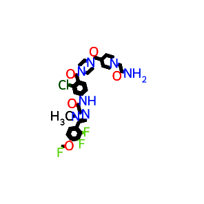 Cn1c(-c2ccc(OCF)c(F)c2F)cnc1C(=O)Nc1ccc(C(=O)N2CCN(C(=O)C3CCN(CC(N)=O)CC3)CC2)c(Cl)c1